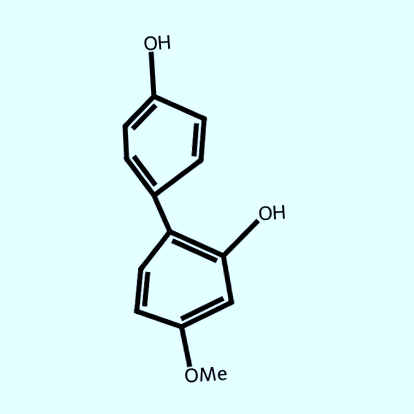 COc1ccc(-c2ccc(O)cc2)c(O)c1